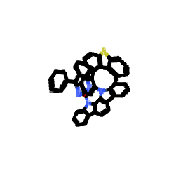 c1ccc(-c2nc(-n3c4ccccc4c4ccc5c6cccc7c8cccc9sc%10cccc(c%11ccccc%11n(c76)c5c43)c%10c98)nc3ccccc23)cc1